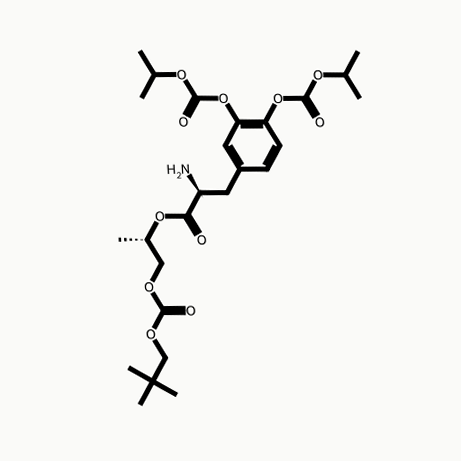 CC(C)OC(=O)Oc1ccc(C[C@H](N)C(=O)O[C@@H](C)COC(=O)OCC(C)(C)C)cc1OC(=O)OC(C)C